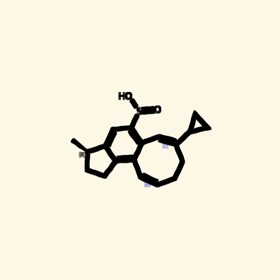 C[C@@H]1CCc2c1cc(S(=O)O)c1c2/C=C\CC/C(C2CC2)=C\1